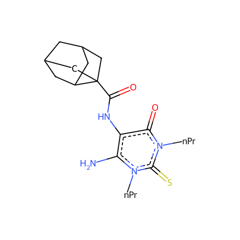 CCCn1c(N)c(NC(=O)C23CC4CC(CC2C4)C3)c(=O)n(CCC)c1=S